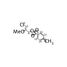 CO[C@@H](CCl)COS(=O)(=O)c1ccc(C)cc1